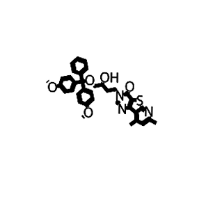 COc1ccc(C(OCC(O)CCn2cnc3c(sc4nc(C)cc(C)c43)c2=O)(c2ccccc2)c2ccc(OC)cc2)cc1